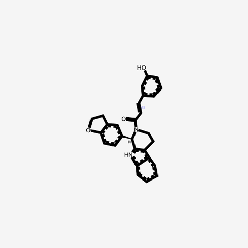 O=C(/C=C/c1cccc(O)c1)N1CCc2c([nH]c3ccccc23)[C@H]1c1ccc2c(c1)CCO2